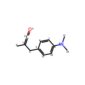 CC(=C=O)Cc1ccc(N(C)C)cc1